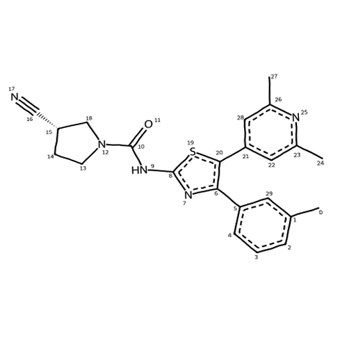 Cc1cccc(-c2nc(NC(=O)N3CC[C@H](C#N)C3)sc2-c2cc(C)nc(C)c2)c1